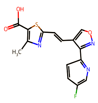 Cc1nc(C=Cc2conc2-c2ccc(F)cn2)sc1C(=O)O